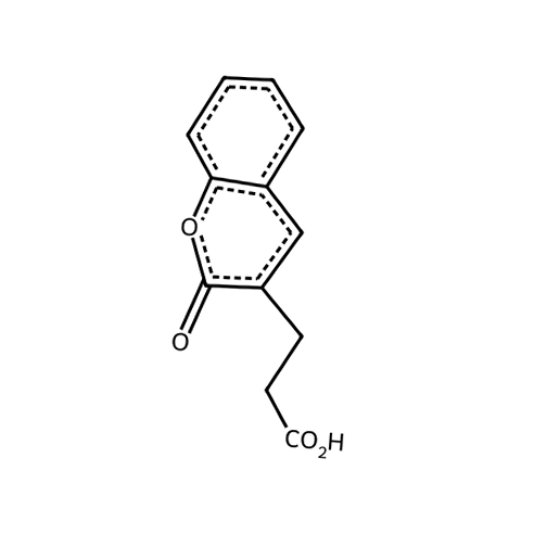 O=C(O)CCc1cc2ccccc2oc1=O